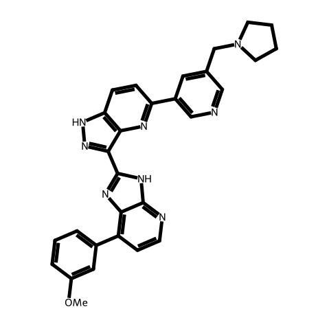 COc1cccc(-c2ccnc3[nH]c(-c4n[nH]c5ccc(-c6cncc(CN7CCCC7)c6)nc45)nc23)c1